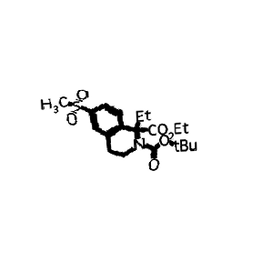 CCOC(=O)C1(CC)c2ccc(S(C)(=O)=O)cc2CCN1C(=O)OC(C)(C)C